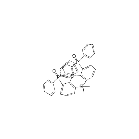 C[Si]1(C)c2cccc(P(=O)(c3ccccc3)c3ccccc3)c2Oc2c1cccc2P(=O)(c1ccccc1)c1ccccc1